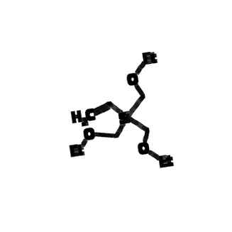 C=C[Si](COCC)(COCC)COCC